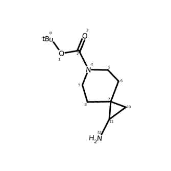 CC(C)(C)OC(=O)N1CCC2(CC1)CC2N